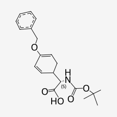 CC(C)(C)OC(=O)N[C@H](C(=O)O)C1C=CC(OCc2ccccc2)=CC1